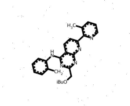 [CH2]c1ccccc1Nc1nc(COCC(C)C)nc2nc(-c3ncccc3C)ccc12